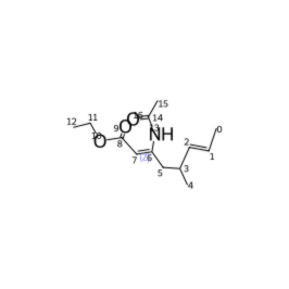 CC=CC(C)C/C(=C/C(=O)OCC)NC(C)=O